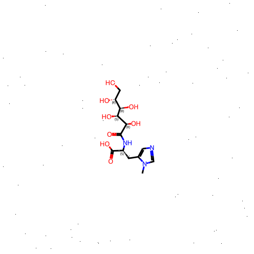 Cn1cncc1C[C@H](NC(=O)[C@H](O)[C@@H](O)[C@H](O)[C@H](O)CO)C(=O)O